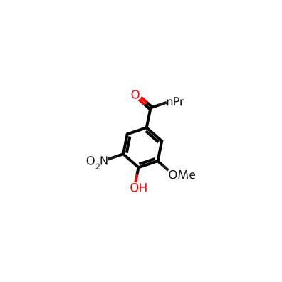 CCCC(=O)c1cc(OC)c(O)c([N+](=O)[O-])c1